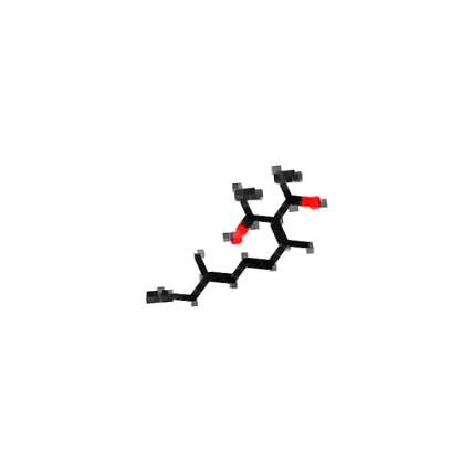 CNC/C(C)=C/C=C/C(C)=C(C(=O)OC)C(=O)OC